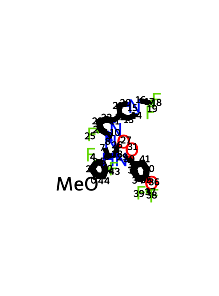 COc1cc(F)c([C@@H]2CN(c3nc(C4CCN(CC(F)F)CC4)ccc3F)C(=O)[C@H]2NC(=O)c2ccc(OC(F)F)cc2)c(F)c1